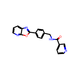 O=C(NCc1ccc(-c2nc3cccnc3o2)cc1)c1cccnc1